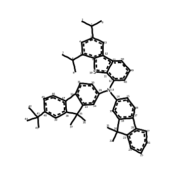 CC(C)c1cc(C(C)C)c2sc3c(N(c4ccc5c(c4)C(C)(C)c4ccccc4-5)c4ccc5c(c4)C(C)(C)c4cc(C(C)(C)C)ccc4-5)cccc3c2c1